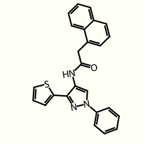 O=C(Cc1cccc2ccccc12)Nc1cn(-c2ccccc2)nc1-c1cccs1